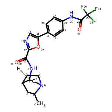 CC1CC2CCN1C[C@@H]2NC(=O)c1ncc(-c2ccc(NC(=O)C(F)(F)F)cc2)o1